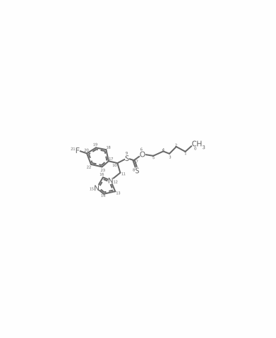 CCCCCCOC(=S)SC(Cn1ccnc1)c1ccc(F)cc1